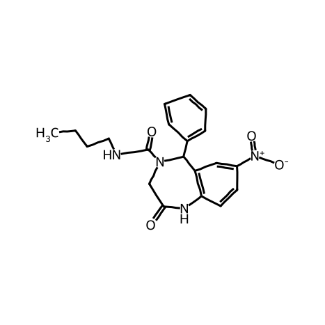 CCCCNC(=O)N1CC(=O)Nc2ccc([N+](=O)[O-])cc2C1c1ccccc1